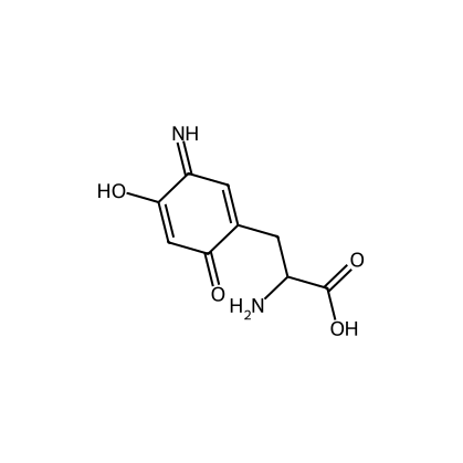 N=C1C=C(CC(N)C(=O)O)C(=O)C=C1O